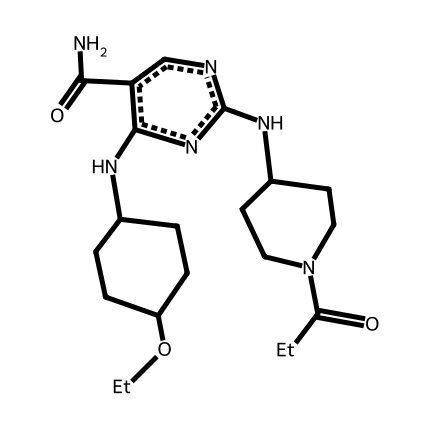 CCOC1CCC(Nc2nc(NC3CCN(C(=O)CC)CC3)ncc2C(N)=O)CC1